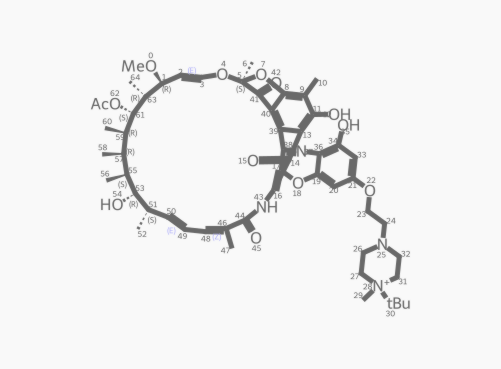 CO[C@H]1/C=C/O[C@@]2(C)Oc3c(C)c(O)c4c(=O)c(c5oc6cc(OCCN7CC[N+](C)(C(C)(C)C)CC7)cc(O)c6nc-5c4c3C2=O)NC(=O)/C(C)=C\C=C\[C@H](C)[C@H](O)[C@@H](C)[C@@H](C)[C@@H](C)[C@H](OC(C)=O)[C@@H]1C